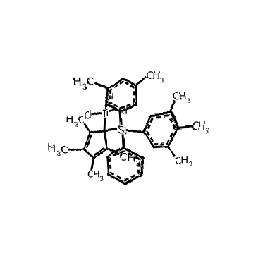 CC1=C(C)[C]([Si](c2ccccc2)(c2cc(C)cc(C)c2)c2cc(C)c(C)c(C)c2)([Ti]([Cl])([Cl])[Cl])C(C)=C1C